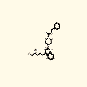 O=C(OCc1ccccc1)N1CCN(c2nc(OCC[C@H](O)CO)c3ccccc3n2)CC1